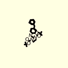 CC(C)(C)OC(=O)N1CCN(C(=O)OC(C)(C)C)C1/N=C1/C=CC(Cc2ccccc2)=CC1